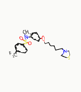 CN(c1ccc(OCCCCCCN2CCSCC2)cc1)S(=O)(=O)c1ccc(C(F)(F)F)cc1